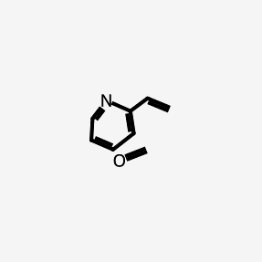 C=Cc1ccccn1.C=O